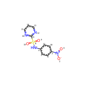 O=[N+]([O-])c1ccc(NS(=O)(=O)c2ncccn2)cc1